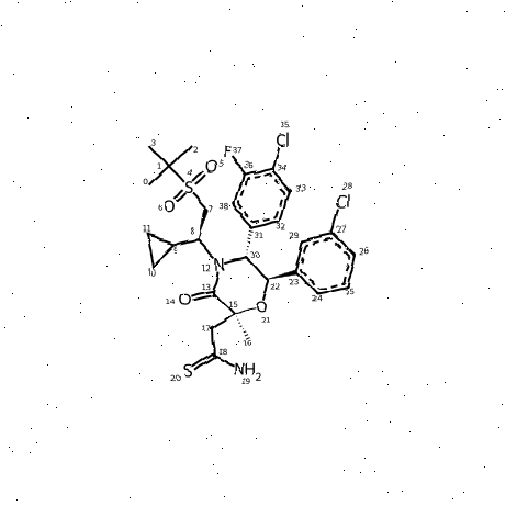 CC(C)(C)S(=O)(=O)C[C@H](C1CC1)N1C(=O)[C@](C)(CC(N)=S)O[C@H](c2cccc(Cl)c2)[C@H]1c1ccc(Cl)c(F)c1